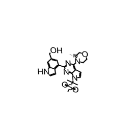 C[C@@H]1COCCN1c1nc(-c2cc(CO)cc3[nH]ccc23)nc2c1ccn2C(C)(C)S(C)(=O)=O